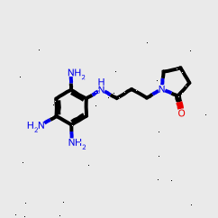 Nc1cc(N)c(NCCCN2CCCC2=O)cc1N